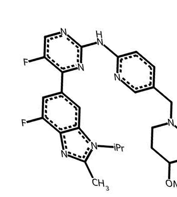 COC1CCN(Cc2ccc(Nc3ncc(F)c(-c4cc(F)c5nc(C)n(C(C)C)c5c4)n3)nc2)CC1